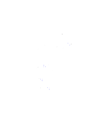 Cc1ccncc1-c1ccc2c(c1)N(Cc1c[nH]cn1)CC2